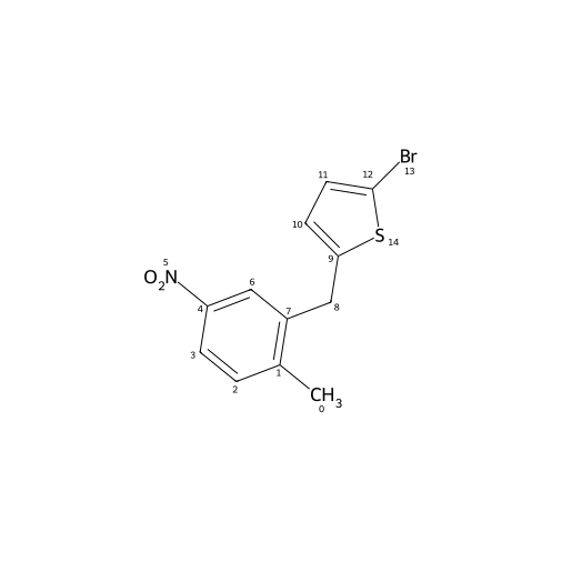 Cc1ccc([N+](=O)[O-])cc1Cc1ccc(Br)s1